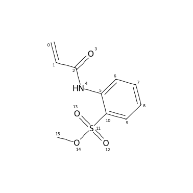 C=CC(=O)Nc1ccccc1S(=O)(=O)OC